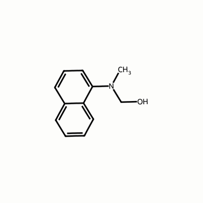 CN(CO)c1cccc2ccccc12